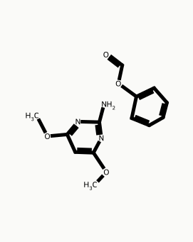 COc1cc(OC)nc(N)n1.O=COc1ccccc1